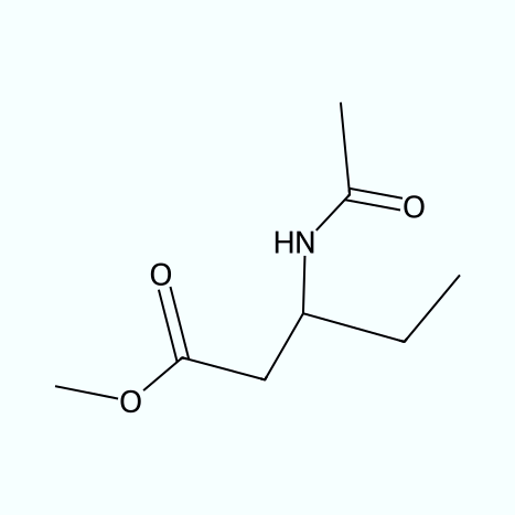 CCC(CC(=O)OC)NC(C)=O